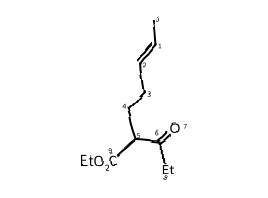 C/C=C/CCC(C(=O)CC)C(=O)OCC